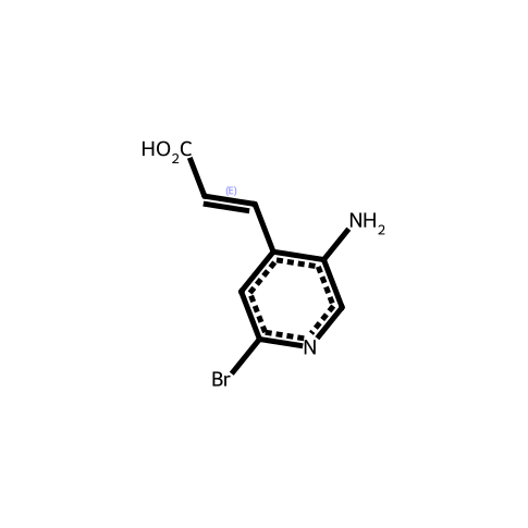 Nc1cnc(Br)cc1/C=C/C(=O)O